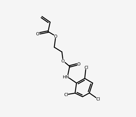 C=CC(=O)OCCOC(=O)Nc1c(Cl)cc(Cl)cc1Cl